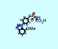 COc1cccc2nnn(-c3ccc(CS(=O)(=O)NC(=O)O)cc3)c12